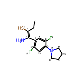 CC/C(S)=C(/N)c1cc(F)c(N2CCCC2)cc1F